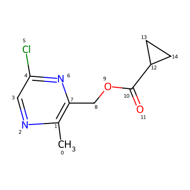 Cc1ncc(Cl)nc1COC(=O)C1CC1